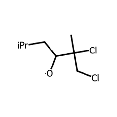 CC(C)CC([O])C(C)(Cl)CCl